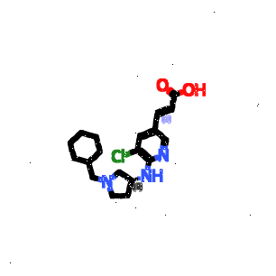 O=C(O)/C=C/c1cnc(N[C@@H]2CCN(CC3CCCCC3)C2)c(Cl)c1